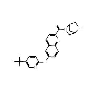 O=C(c1ccc2cc(Oc3ccc(C(F)(F)F)cn3)ccc2n1)N1CC2CC1CN2